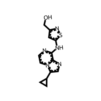 OCc1cc(Nc2nccn3c(C4CC4)cnc23)sn1